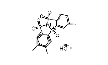 Cc1ccc([S](=O)(=O)[Pd]([S](=O)(=O)c2ccc(C)cc2)[S](=O)(=O)c2ccc(C)cc2)cc1.Cl.P